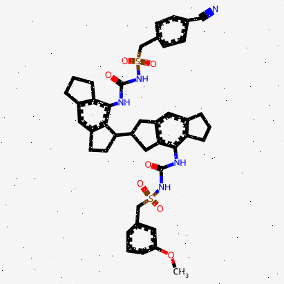 COc1cccc(CS(=O)(=O)NC(=O)Nc2c3c(cc4c2CC(C2CCc5cc6c(c(NC(=O)NS(=O)(=O)Cc7ccc(C#N)cc7)c52)CCC6)C4)CCC3)c1